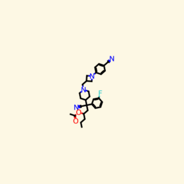 CCCC(CC(C#N)(c1cccc(F)c1)C1CCN(CC2CN(c3ccc(C#N)cc3)C2)CC1)OC(C)=O